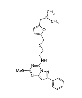 CSc1nc(NCCSCc2ccc(CN(C)C)o2)n2nc(-c3ccccc3)cc2n1